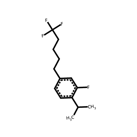 CC(C)c1ccc(CCCCC(F)(F)F)cc1F